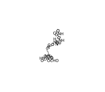 CN(C(=O)c1c(C=O)cccc1NCCCCC1CCN(C(=O)Cc2ccc(Nc3ncc(F)c(Nc4ccc(C(=O)Nc5ccccc5Cl)cc4)n3)cc2)C1)C1CCC(=O)NC1=O